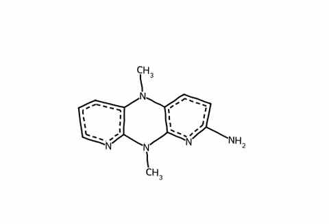 CN1c2cccnc2N(C)c2nc(N)ccc21